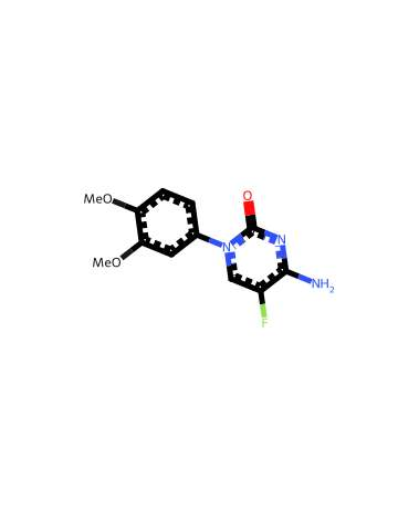 COc1ccc(-n2cc(F)c(N)nc2=O)cc1OC